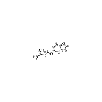 CN(C)CCOc1ccc2o[c]cc2c1